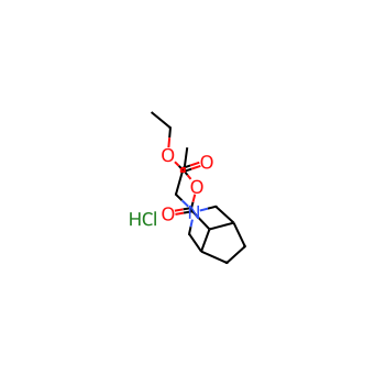 CCOC(=O)CN1CC2CCC(C1)C2C(=O)OCC.Cl